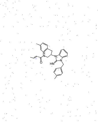 C/C=C/C(=O)NCC(Cc1ccc(C)cc1)n1c(=N)n(Cc2ccc(C)cc2)c2ccccc21